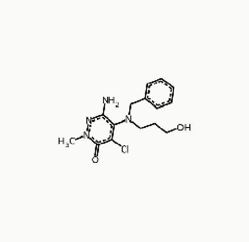 Cn1nc(N)c(N(CCCO)Cc2ccccc2)c(Cl)c1=O